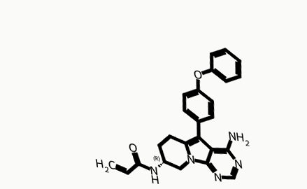 C=CC(=O)N[C@@H]1CCc2c(-c3ccc(Oc4ccccc4)cc3)c3c(N)ncnc3n2C1